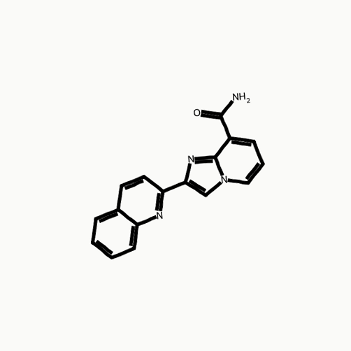 NC(=O)c1cccn2cc(-c3ccc4ccccc4n3)nc12